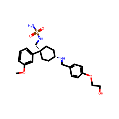 COc1cccc([C@]2(CNS(N)(=O)=O)CC[C@@H](NCc3ccc(OCCO)cc3)CC2)c1